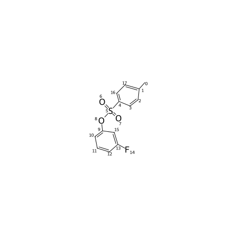 Cc1ccc(S(=O)(=O)Oc2cccc(F)c2)cc1